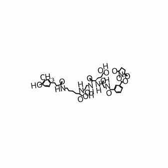 Cc1cc(CCC(=O)NCCCCC(NC(=O)CNC(=O)[C@@H](CCC(=O)O)NC(=O)CNC(=O)c2cccc(C(=O)ON3C(=O)CCC3=O)c2)C(=O)O)ccc1O